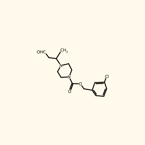 CC(C[C]=O)N1CCN(C(=O)OCc2cccc(Cl)c2)CC1